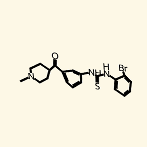 CN1CCC(C(=O)c2cccc(NC(=S)Nc3ccccc3Br)c2)CC1